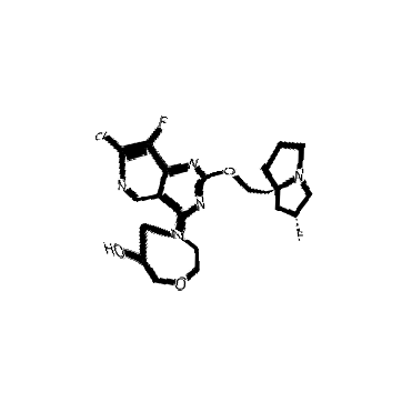 OC1COCCN(c2nc(OC[C@@]34CCCN3C[C@H](F)C4)nc3c(F)c(Cl)ncc23)C1